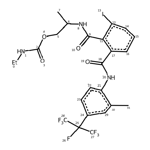 CCNC(=O)OCC(C)NC(=O)c1c(I)cccc1C(=O)Nc1ccc(C(F)(C(F)(F)F)C(F)(F)F)cc1C